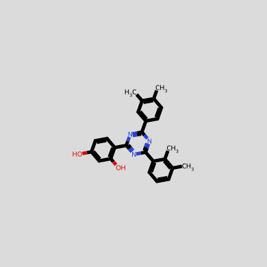 Cc1ccc(-c2nc(-c3ccc(O)cc3O)nc(-c3cccc(C)c3C)n2)cc1C